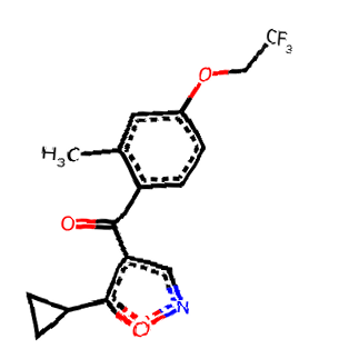 Cc1cc(OCC(F)(F)F)ccc1C(=O)c1cnoc1C1CC1